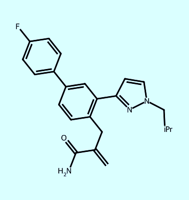 C=C(Cc1ccc(-c2ccc(F)cc2)cc1-c1ccn(CC(C)C)n1)C(N)=O